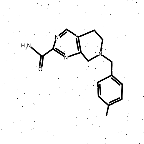 Cc1ccc(CN2CCc3[c]nc(C(N)=O)nc3C2)cc1